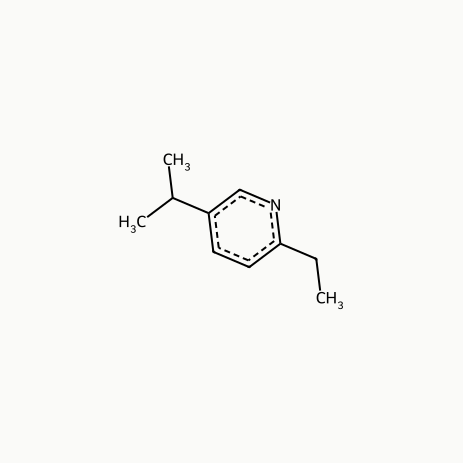 CCc1ccc(C(C)C)cn1